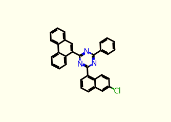 Clc1ccc2c(-c3nc(-c4ccccc4)nc(-c4cc5ccccc5c5ccccc45)n3)cccc2c1